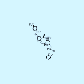 CN1C(=O)c2cc(NC(=O)c3ccc(C(F)(F)F)cc3)cnc2OC[C@@H]2O[C@H](CC(=O)NC3Cc4ccccc4C3)CC[C@@H]21